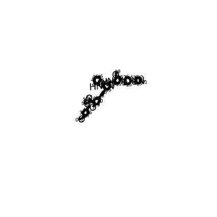 COc1ccc(COc2ccc(C#Cc3cnc(Nc4ccc(N5CCC(N6CCN(C)CC6)CC5)cc4OC)nc3Nc3ccccc3)cc2C2OCCO2)cc1